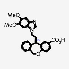 COc1cc2ncn(C/C=C3\c4ccccc4COc4ccc(C(=O)O)cc43)c2cc1OC